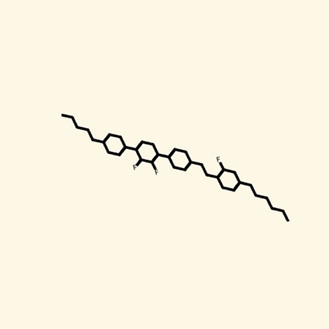 CCCCCCC1CCC(CCC2CCC(C3CCC(C4CCC(CCCCC)CC4)C(F)C3F)CC2)C(F)C1